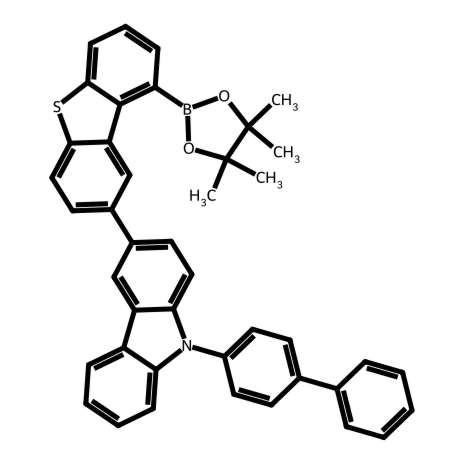 CC1(C)OB(c2cccc3sc4ccc(-c5ccc6c(c5)c5ccccc5n6-c5ccc(-c6ccccc6)cc5)cc4c23)OC1(C)C